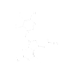 CNC(=O)CC1CN(Cc2cnc(C)c(C)c2C)c2nc(N)nc(Cl)c21